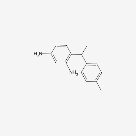 Cc1ccc(C(C)c2ccc(N)cc2N)cc1